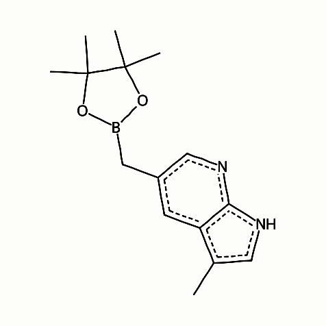 Cc1c[nH]c2ncc(CB3OC(C)(C)C(C)(C)O3)cc12